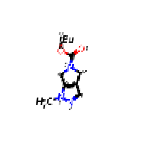 Cn1ncc2c1CN(C(=O)OC(C)(C)C)C2